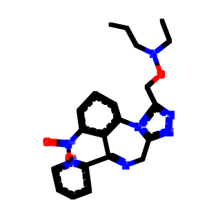 CCCN(CC)OCc1nnc2n1-c1cccc([N+](=O)[O-])c1C(c1ccccn1)=NC2